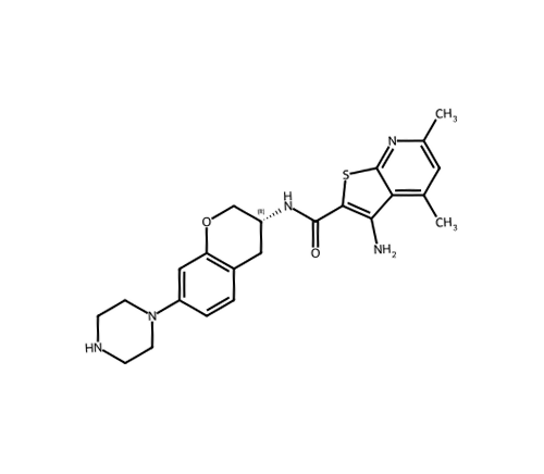 Cc1cc(C)c2c(N)c(C(=O)N[C@H]3COc4cc(N5CCNCC5)ccc4C3)sc2n1